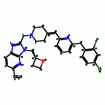 O=C(O)c1ccc2nc(CN3CCC(=Cc4cccc(Cc5ccc(Cl)cc5F)n4)CC3)n(C[C@@H]3CCO3)c2n1